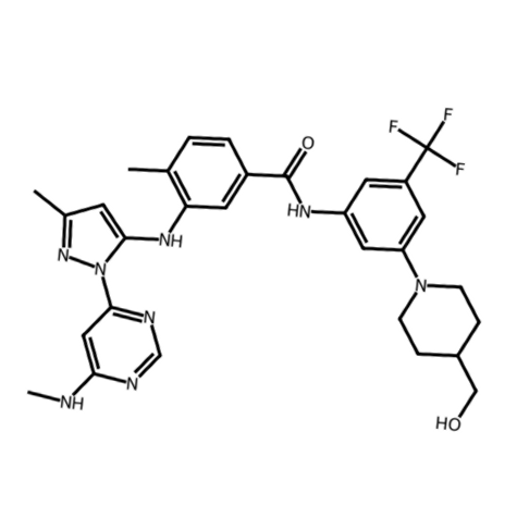 CNc1cc(-n2nc(C)cc2Nc2cc(C(=O)Nc3cc(N4CCC(CO)CC4)cc(C(F)(F)F)c3)ccc2C)ncn1